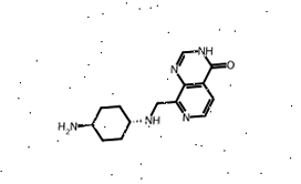 N[C@H]1CC[C@H](NCc2nccc3c(=O)[nH]cnc23)CC1